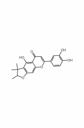 CC1Oc2cc3oc(-c4ccc(O)c(O)c4)cc(=O)c3c(O)c2C1(C)C